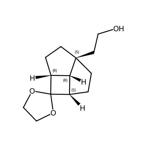 OCC[C@]12CC[C@@H]3[C@H]1[C@H](CC2)C31OCCO1